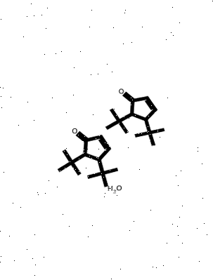 CC(C)(C)C1C=CC(=O)C1C(C)(C)C.CC(C)(C)C1C=CC(=O)C1C(C)(C)C.O